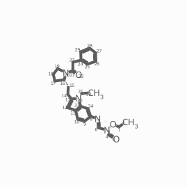 CCON(C=O)C=Nc1ccc2cc(CC[C@@H]3CCCN3C(=O)Cc3ccccc3)n(CC)c2c1